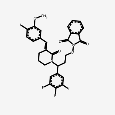 COc1cc(/C=C2\CCCN(C(CCON3C(=O)c4ccccc4C3=O)c3cc(F)c(F)c(F)c3)C2=O)ccc1I